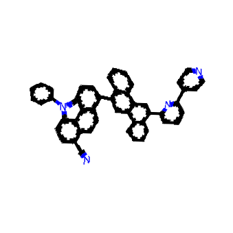 N#Cc1ccc2c3c1ccc1c(-c4cc5c6ccccc6c(-c6cccc(-c7ccncc7)n6)cc5c5ccccc45)ccc(c13)n2-c1ccccc1